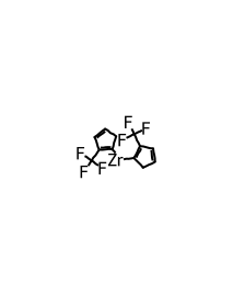 FC(F)(F)C1=[C]([Zr][C]2=C(C(F)(F)F)C=CC2)CC=C1